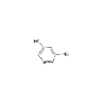 CCc1cncc(C#N)c1